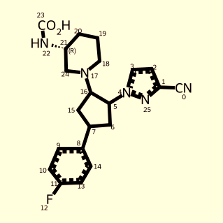 N#Cc1ccn(C2CC(c3ccc(F)cc3)CC2N2CCC[C@@H](NC(=O)O)C2)n1